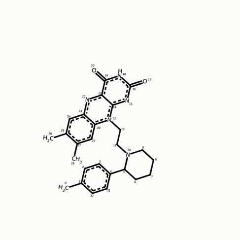 Cc1ccc(C2CCCCN2CCn2c3nc(=O)[nH]c(=O)c-3nc3cc(C)c(C)cc32)cc1